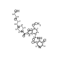 COc1ccc(C(=O)Nc2c(Cl)cncc2Cl)c2cc(C(=O)N3CCN(CCOCCO)CC3)oc12